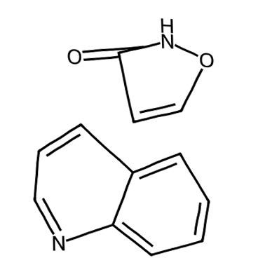 O=c1cco[nH]1.c1ccc2ncccc2c1